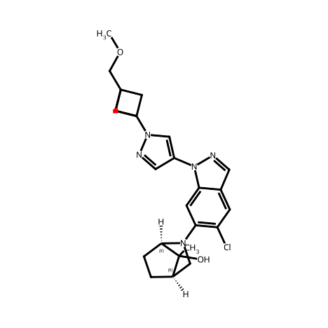 COCC12CC(n3cc(-n4ncc5cc(Cl)c(N6C[C@H]7CC[C@@H]6C7(C)O)cc54)cn3)(C1)C2